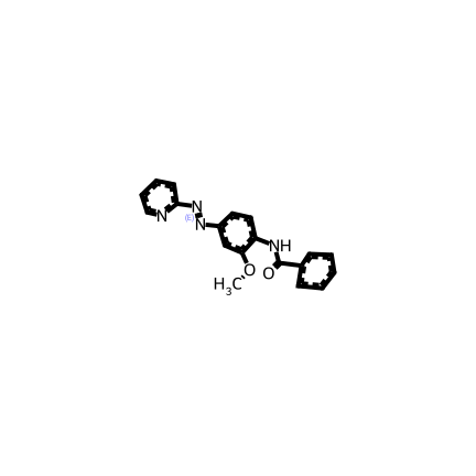 COc1cc(/N=N/c2ccccn2)ccc1NC(=O)c1ccccc1